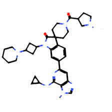 CC(C)n1cnc2cc(-c3ccc4c(c3)N(C3CC(N5CCCCC5)C3)C(=O)C43CCN(C(=O)C4CCN(C=O)C4)CC3)nc(NC3CC3)c21